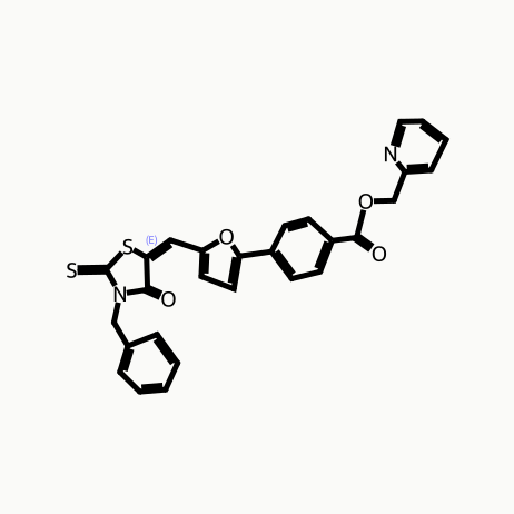 O=C(OCc1ccccn1)c1ccc(-c2ccc(/C=C3/SC(=S)N(Cc4ccccc4)C3=O)o2)cc1